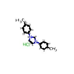 Cc1ccc(N2C=CN(c3ccc(C)cc3)C2)cc1.Cl